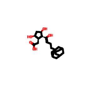 O=C(O)C[C@@H]1[C@@H](C(O)=CCCC23CC4CC(CC(C4)C2)C3)[C@H](O)C[C@@H]1O